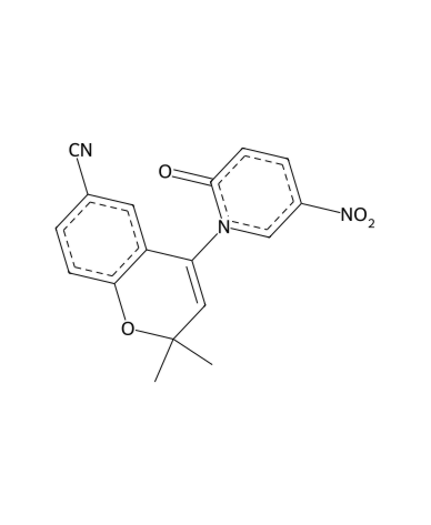 CC1(C)C=C(n2cc([N+](=O)[O-])ccc2=O)c2cc(C#N)ccc2O1